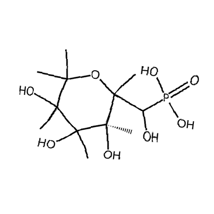 CC1(C)OC(C)(C(O)P(=O)(O)O)[C@@](C)(O)C(C)(O)C1(C)O